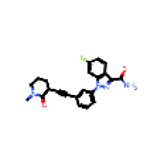 CN1CCCC(C#Cc2cccc(-n3nc(C(N)=O)c4ccc(F)cc43)c2)C1=O